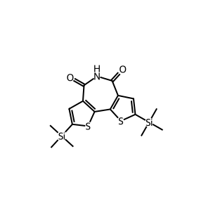 C[Si](C)(C)c1cc2c(=O)[nH]c(=O)c3cc([Si](C)(C)C)sc3c2s1